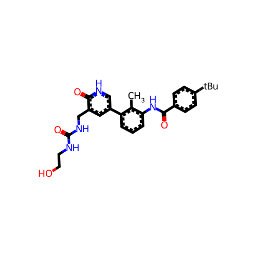 Cc1c(NC(=O)c2ccc(C(C)(C)C)cc2)cccc1-c1c[nH]c(=O)c(CNC(=O)NCCO)c1